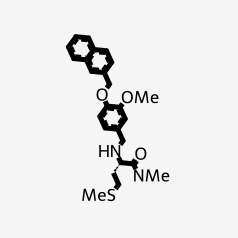 CNC(=O)[C@H](CCSC)NCc1ccc(OCc2ccc3ccccc3c2)c(OC)c1